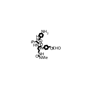 CNC(=O)NCCCC(NC(=O)C(NC(=O)c1ccc(N)cc1)C(C)C)C(=O)Nc1ccc(COC=O)cc1